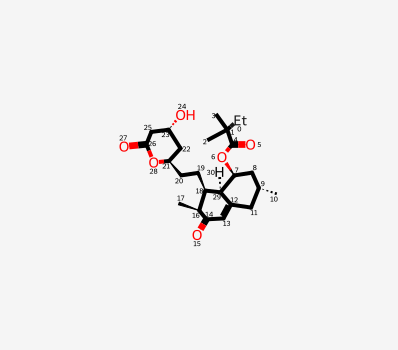 CCC(C)(C)C(=O)O[C@H]1C[C@H](C)CC2=CC(=O)[C@@H](C)[C@@H](CC[C@@H]3C[C@@H](O)CC(=O)O3)[C@H]21